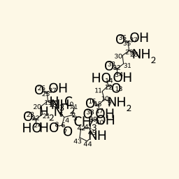 CCC(C)C(N)C(=O)O.NC(CC(=O)O)C(=O)O.NC(CCC(=O)O)C(=O)O.NC(CCC(=O)O)C(=O)O.O=C(O)[C@@H]1CCCN1